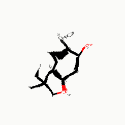 CC1(C)COc2cc(O)c(C=O)cc21